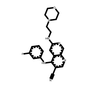 N#Cc1cnc2cnc(NCCN3CCOCC3)cc2c1Nc1cccc(F)c1